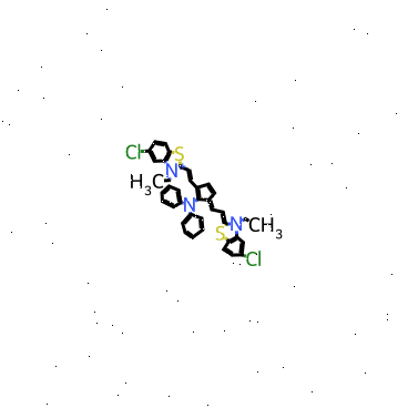 CCN1/C(=C/C=C2\C=CC(/C=C/c3sc4ccc(Cl)cc4[n+]3CC)=C2N(c2ccccc2)c2ccccc2)Sc2ccc(Cl)cc21